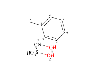 Cc1ccccc1.O=NO.O=S(=O)(O)O